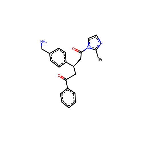 CC(C)c1nccn1C(=O)C[C@@H](CC(=O)c1ccccc1)c1ccc(CN)cc1